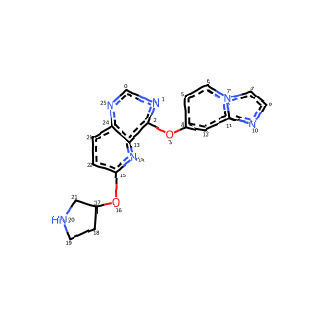 c1nc(Oc2ccn3ccnc3c2)c2nc(OC3CCNC3)ccc2n1